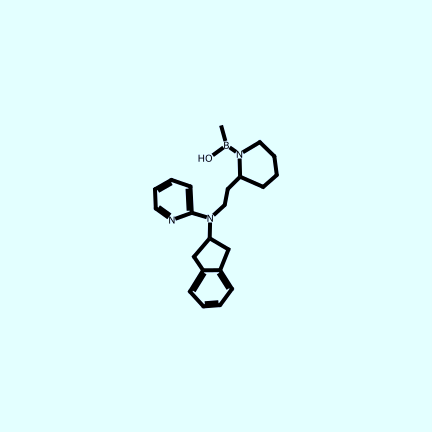 CB(O)N1CCCCC1CCN(c1ccccn1)C1Cc2ccccc2C1